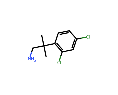 CC(C)(CN)c1ccc(Cl)cc1Cl